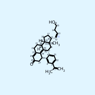 C=C(C)c1ccc([C@H]2C[C@]3(C)[C@@H](/C=C\CCO)CC[C@H]3[C@@H]3CCC4=CC(=O)CCC4=C32)cc1